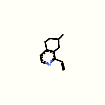 C=Cc1nccc2c1CC(C)CC2